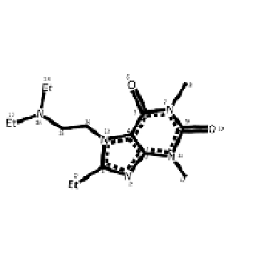 CCc1nc2c(c(=O)n(C)c(=O)n2C)n1CCN(CC)CC